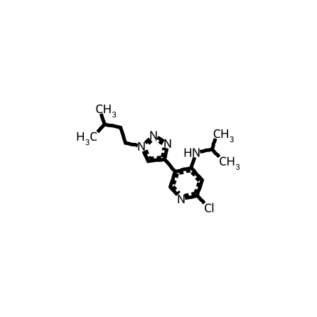 CC(C)CCn1cc(-c2cnc(Cl)cc2NC(C)C)nn1